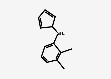 Cc1cccc([SiH2]C2C=CC=C2)c1C